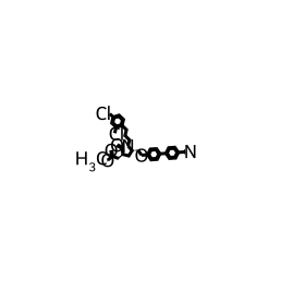 COC(=O)C[C@@H]1C[C@@H](COc2ccc(-c3ccc(C#N)cc3)cc2)N(CCCc2ccc(Cl)cc2Cl)C1=O